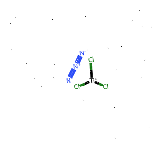 [Cl][Ti+]([Cl])[Cl].[N-]=[N+]=[N-]